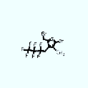 Cc1c(Br)sc(CBr)c1CC(F)(F)C(F)(F)C(F)(F)F